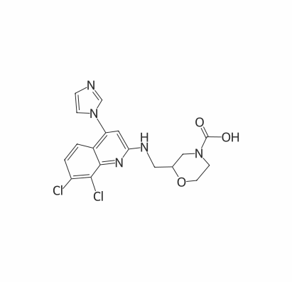 O=C(O)N1CCOC(CNc2cc(-n3ccnc3)c3ccc(Cl)c(Cl)c3n2)C1